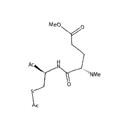 CN[C@@H](CCC(=O)OC)C(=O)N[C@@H](CSC(C)=O)C(C)=O